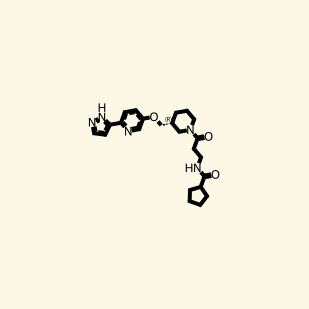 O=C(NCCC(=O)N1CCC[C@@H](COc2ccc(-c3ccn[nH]3)nc2)C1)C1CCCC1